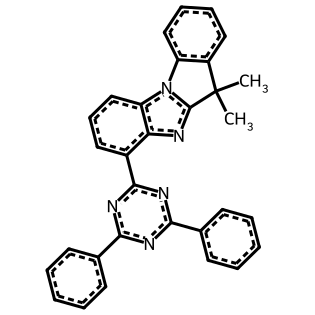 CC1(C)c2ccccc2-n2c1nc1c(-c3nc(-c4ccccc4)nc(-c4ccccc4)n3)cccc12